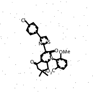 COc1cccc(C(=O)O)c1-n1c2c(cc(-c3nc(-c4ccc(Cl)cc4)cs3)c1=O)C(=O)CC(C)(C)C2